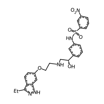 CCc1n[nH]c2cc(OCCNC[C@H](O)c3cccc(NS(=O)(=O)c4cccc([N+](=O)[O-])c4)c3)ccc12